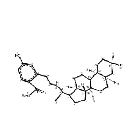 COC(=O)c1ccc(C#N)cc1CCN[C@H](C)C1CC[C@H]2[C@@H]3CC[C@@H]4C[C@](C)(O)CC[C@@H]4C3CC[C@]12C